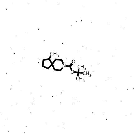 CC1CCCC12CCN(C(=O)OC(C)(C)C)CC2